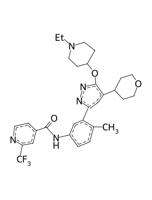 CCN1CCC(Oc2nnc(-c3cc(NC(=O)c4ccnc(C(F)(F)F)c4)ccc3C)cc2C2CCOCC2)CC1